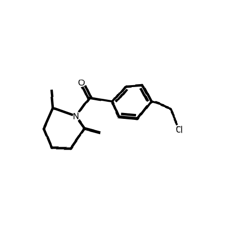 CC1CCCC(C)N1C(=O)c1ccc(CCl)cc1